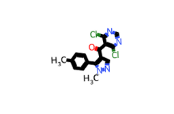 Cc1ccc(-c2c(C(=O)c3c(Cl)ncnc3Cl)cnn2C)cc1